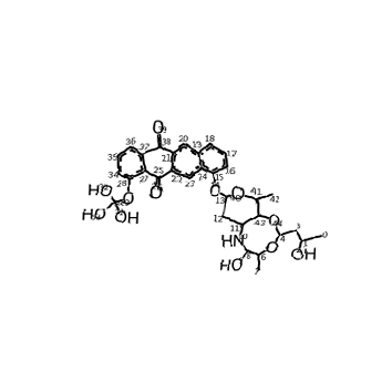 CC(O)CC1OC(C)C(O)NC2CC(Oc3cccc4cc5c(cc34)C(=O)c3c(OC(O)(O)O)cccc3C5=O)OC(C)C2O1